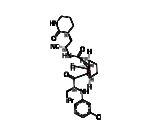 CC(C)C[C@H](Nc1cccc(Cl)c1)C(=O)N1[C@@H]2CC[C@H]([C@@H]1C(=O)N[C@H](C#N)C[C@@H]1CCCNC1=O)C(F)(F)C2